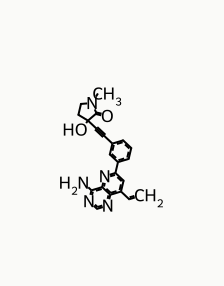 C=Cc1cc(-c2cccc(C#CC3(O)CCN(C)C3=O)c2)nc2c(N)ncnc12